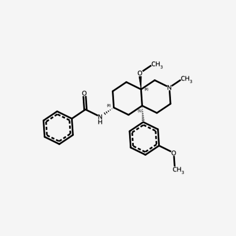 COc1cccc([C@@]23CCN(C)C[C@@]2(OC)CC[C@@H](NC(=O)c2ccccc2)C3)c1